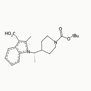 Cc1c(C(=O)O)c2ccccc2n1[C@@H](C)C1CCN(C(=O)OC(C)(C)C)CC1